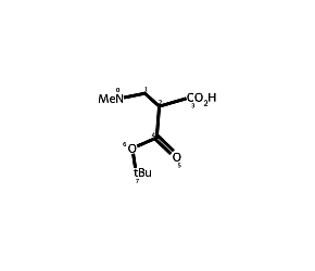 CNCC(C(=O)O)C(=O)OC(C)(C)C